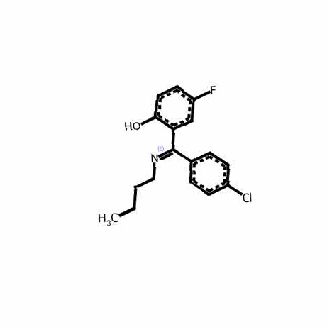 CCCC/N=C(\c1ccc(Cl)cc1)c1cc(F)ccc1O